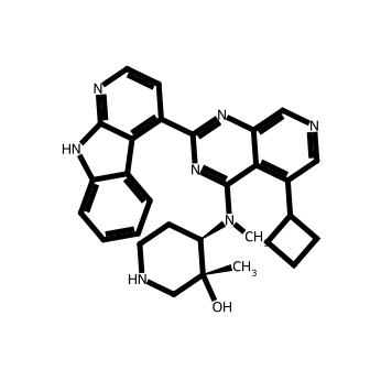 CN(c1nc(-c2ccnc3[nH]c4ccccc4c23)nc2cncc(C3CCC3)c12)[C@@H]1CCNC[C@@]1(C)O